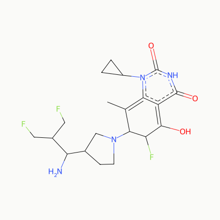 CC1=c2c(c(=O)[nH]c(=O)n2C2CC2)=C(O)C(F)C1N1CCC(C(N)C(CF)CF)C1